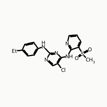 CCc1ccc(Nc2ncc(Cl)c(Nc3ncccc3S(C)(=O)=O)n2)cc1